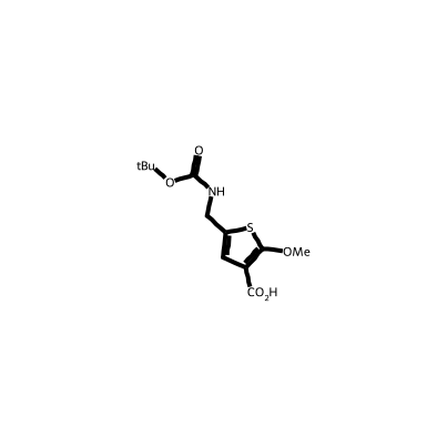 COc1sc(CNC(=O)OC(C)(C)C)cc1C(=O)O